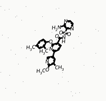 COc1ncc(-c2ccc(C(=O)NS(=O)(=O)c3nccnc3N)c(Oc3ccc(C)cc3C)n2)cc1C